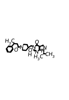 CC(CC(=O)N1CCC(O)(Cn2cnc3c(cnn3C(C)C)c2=O)CC1)c1ccccc1